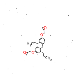 C=CCc1cc(OCC2CO2)ccc1Cc1ccc(OCC2CO2)cc1CC=C